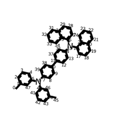 Cc1cccc(N(c2ccc(-c3ccc(N(c4cccc5ccccc45)c4cccc5ccccc45)cc3)cc2)c2cccc(C)c2)c1